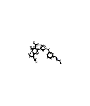 CC/C=C/c1cccc(Cn2cc(-c3[nH]c4c(C#N)cnn4c(=O)c3C(C)C)cn2)n1